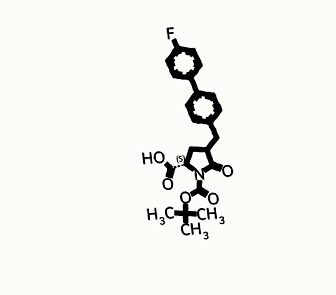 CC(C)(C)OC(=O)N1C(=O)C(Cc2ccc(-c3ccc(F)cc3)cc2)C[C@H]1C(=O)O